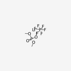 COP(=O)(OC)OC.F[P-](F)(F)(F)(F)F.[Li+]